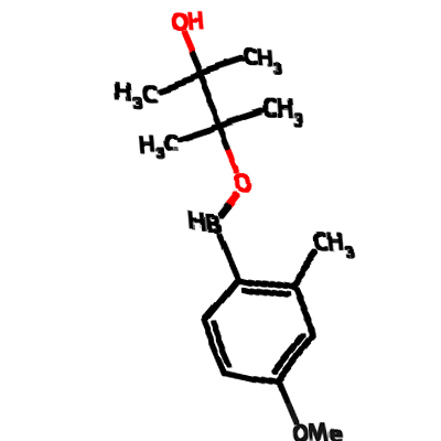 COc1ccc(BOC(C)(C)C(C)(C)O)c(C)c1